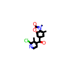 Cc1c(C(=O)c2cc(C)c3c(c2)oc(=O)n3C)ccnc1Cl